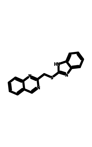 c1ccc2nc(CSc3nc4ccccc4[nH]3)ncc2c1